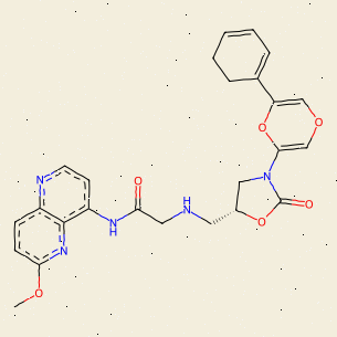 COc1ccc2nccc(NC(=O)CNC[C@@H]3CN(C4=COC=C(C5=CC=CCC5)O4)C(=O)O3)c2n1